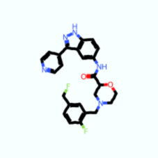 O=C(Nc1ccc2[nH]nc(-c3ccncc3)c2c1)C1CN(Cc2cc(CF)ccc2F)CCO1